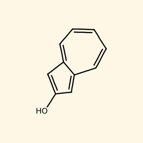 Oc1cc2cccccc-2c1